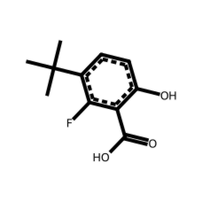 CC(C)(C)c1ccc(O)c(C(=O)O)c1F